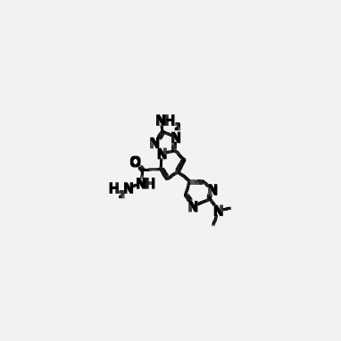 CN(C)c1ncc(-c2cc(C(=O)NN)n3nc(N)nc3c2)cn1